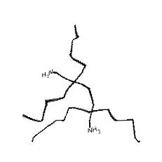 CCCCC(N)(CCCC)CC(N)(CCCC)CCCC